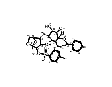 Cc1ccc(S(=O)(=O)OC2C(O)[C@H](O[C@@H]3OC4COC(c5ccccc5)O[C@H]4C(O)[C@@H]3O)C3CO[C@@H]2O3)cc1